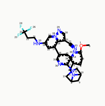 COc1ccc(CN2C3CC2CN(c2ccc(-c4cc(NCCC(F)(F)F)cn5ncc(C#N)c45)cn2)C3)cn1